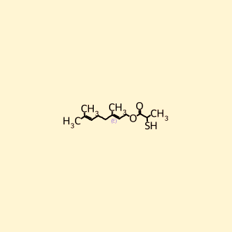 CC(C)=CCC/C(C)=C/COC(=O)C(C)S